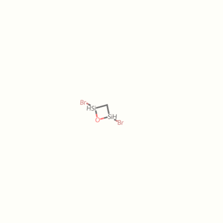 Br[SiH]1C[SiH](Br)O1